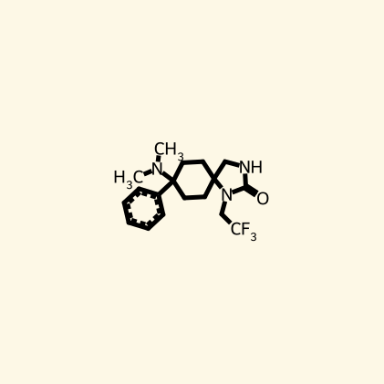 CN(C)C1(c2ccccc2)CCC2(CC1)CNC(=O)N2CC(F)(F)F